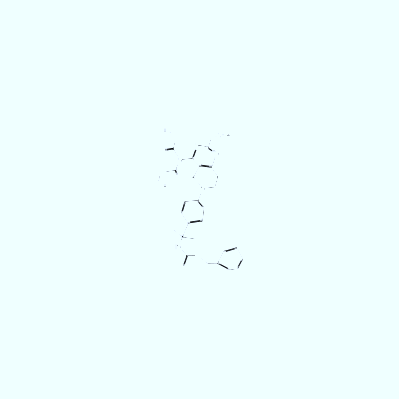 COc1nc2c(c(N(C(=O)OC(C)(C)C)C(=O)OC(C)(C)C)n1)C(=O)N(c1ccc(C(C)(C)NC(=O)OCc3ccccc3)cc1)CC2